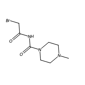 CN1CCN(C(=O)NC(=O)CBr)CC1